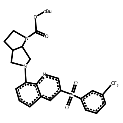 CC(C)(C)OC(=O)N1CCC2CN(c3cccc4cc(S(=O)(=O)c5cccc(C(F)(F)F)c5)cnc34)CC21